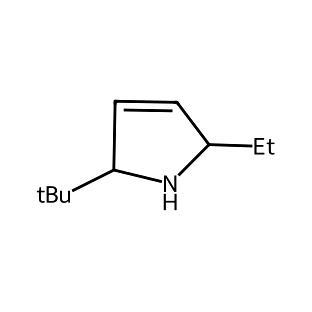 CCC1C=CC(C(C)(C)C)N1